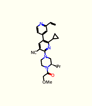 C=Cc1cc(-c2cc(C#N)c(N3CCN(C(=O)COC)[C@H](C(C)C)C3)nc2C2CC2)ccn1